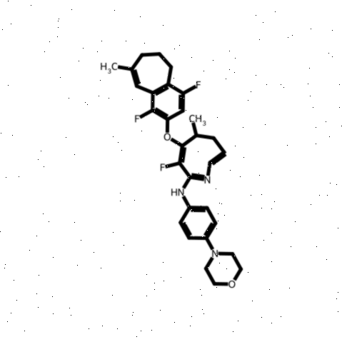 CC1=Cc2c(F)c(O/C3=C(F)/C(Nc4ccc(N5CCOCC5)cc4)=N\C=C\CC3C)cc(F)c2CCC1